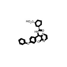 O=C(O)[C@@H]1CCC[C@@H](C(=O)NC(c2ccc(Oc3ccccc3)cc2)c2nccnc2Cl)C1